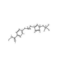 COC(=O)c1ccc(CNCc2cn(C[Si](C)(C)C)nn2)cc1